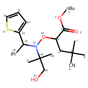 CCCCOC(=O)C(CC(C)(C)C#N)ON(C(c1cccs1)C(C)C)C(C)(C)CO